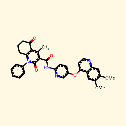 COc1cc2nccc(Oc3ccc(NC(=O)c4c(C)c5c(n(-c6ccccc6)c4=O)CCCC5=O)nc3)c2cc1OC